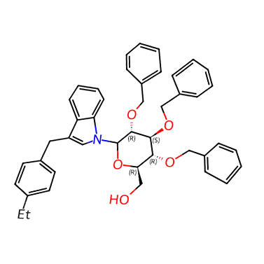 CCc1ccc(Cc2cn(C3O[C@H](CO)[C@@H](OCc4ccccc4)[C@H](OCc4ccccc4)[C@H]3OCc3ccccc3)c3ccccc23)cc1